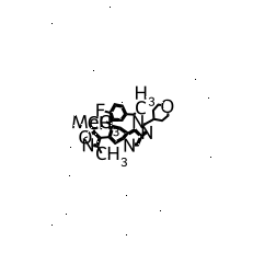 COc1cc2c(cc1-c1c(C)noc1C)ncc1nc(C3CCOCC3)n(C(C)c3ccc(F)cc3)c12